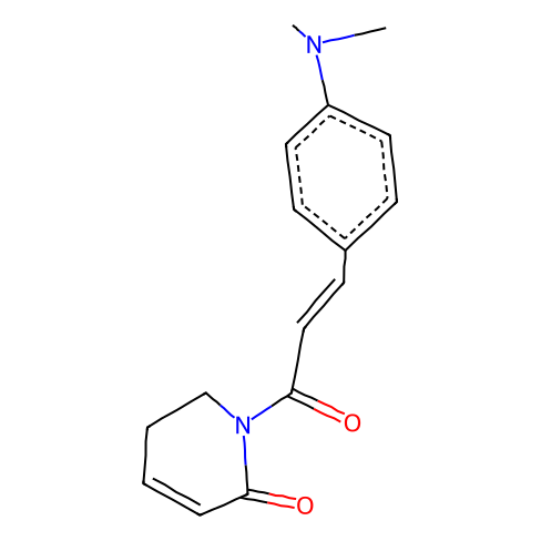 CN(C)c1ccc(/C=C/C(=O)N2CCC=CC2=O)cc1